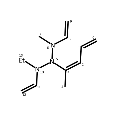 C=C/C=C(/C)N(N(C)C=C)N(C=C)CC